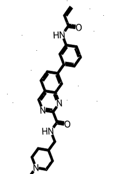 C=CC(=O)Nc1cccc(-c2ccc3cnc(C(=O)NCC4CCN(C)CC4)nc3c2)c1